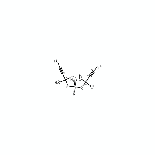 CC#CC(C)(C)OS(=O)(=O)OC(C)(C)C#CC